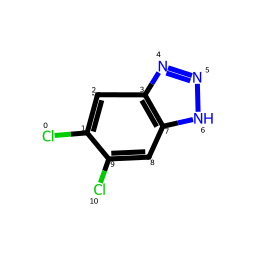 Clc1[c]c2nn[nH]c2cc1Cl